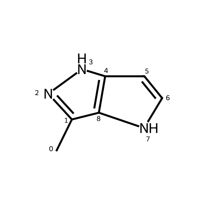 Cc1n[nH]c2cc[nH]c12